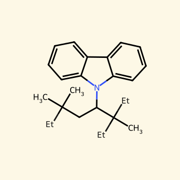 CCC(C)(C)CC(n1c2ccccc2c2ccccc21)C(C)(CC)CC